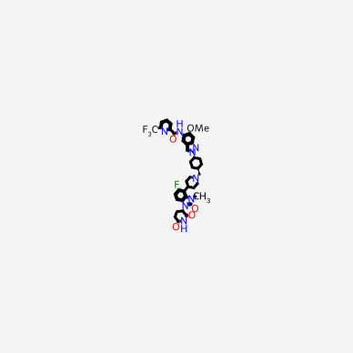 COc1cc2nn([C@H]3CC[C@H](CN4CCC(c5c(F)ccc6c5n(C)c(=O)n6[C@H]5CCC(=O)NC5=O)CC4)CC3)cc2cc1NC(=O)c1cccc(C(F)(F)F)n1